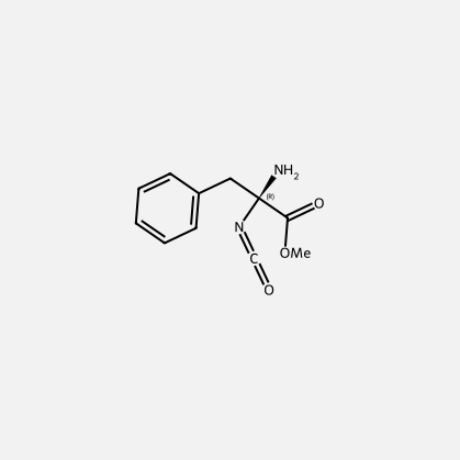 COC(=O)[C@@](N)(Cc1ccccc1)N=C=O